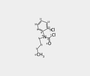 CCCCN(C(=O)Cl)c1ccccc1Cl